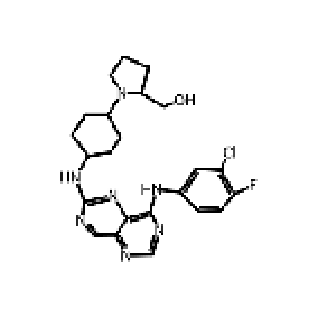 OCC1CCCN1C1CCC(Nc2ncc3ncnc(Nc4ccc(F)c(Cl)c4)c3n2)CC1